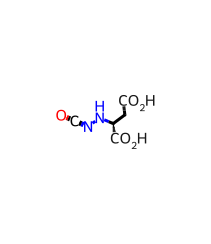 O=C=NN[C@@H](CC(=O)O)C(=O)O